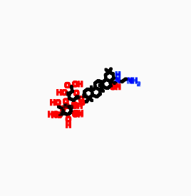 CC1(C)CC[C@]2(C(=O)NCCN)C(O)CC3(C)C(=CCC4C5(C)CC[C@H](O[C@@H]6OC(C(=O)O)[C@@H](O)C(O[C@@H]7OC(CO)CC(O)C7O)C6O[C@@H]6OC(CO)[C@H](O)C(O)C6O)C(C)(C=O)C5CCC43C)C2C1